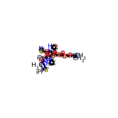 CC(C)c1nc(CN(C)C(=O)N[C@H](C(=O)N[C@@H](Cc2ccccc2)C[C@H](OC(=O)COCC(=O)OCCOCCN(C)C)[C@H](Cc2ccccc2)NC(=O)OCc2cncs2)C(C)C)cs1